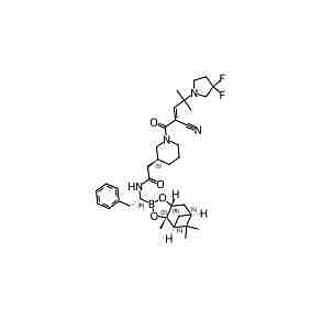 CC1(C)[C@@H]2C[C@H]3OB([C@H](Cc4ccccc4)NC(=O)C[C@@H]4CCCN(C(=O)C(C#N)=CC(C)(C)N5CCC(F)(F)C5)C4)O[C@@]3(C)[C@H]1C2